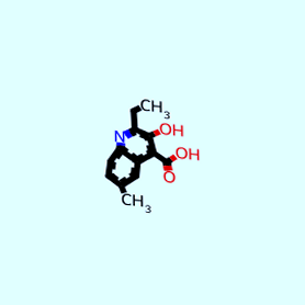 CCc1nc2ccc(C)cc2c(C(=O)O)c1O